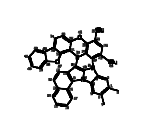 Cc1cc2c(cc1C)n1c3c(ccc4ccccc43)c3c1n2-c1c(C(C)(C)C)cc(C(C)(C)C)c2c1B3c1c(ccc3c1oc1ccccc13)O2